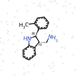 Cc1ccccc1[C@@H]1Nc2ccccc2[C@H]1CN